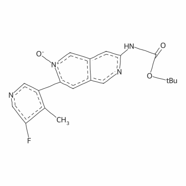 Cc1c(F)cncc1-c1cc2cnc(NC(=O)OC(C)(C)C)cc2c[n+]1[O-]